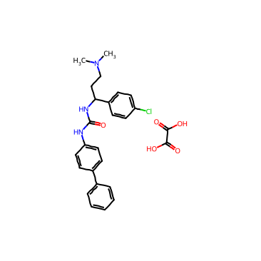 CN(C)CCC(NC(=O)Nc1ccc(-c2ccccc2)cc1)c1ccc(Cl)cc1.O=C(O)C(=O)O